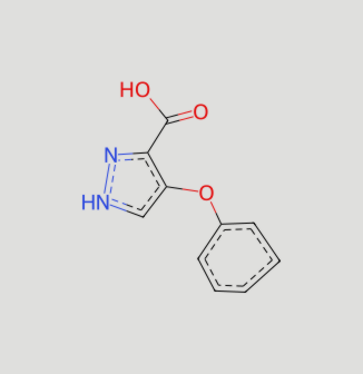 O=C(O)c1n[nH]cc1Oc1ccccc1